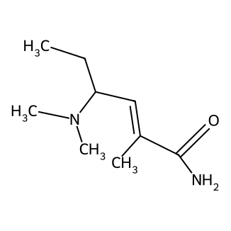 CCC(/C=C(\C)C(N)=O)N(C)C